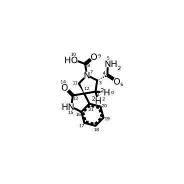 [2H]C1([2H])[C@@H](C(N)=O)N(C(=O)O)C[C@@]12C(=O)Nc1ccccc12